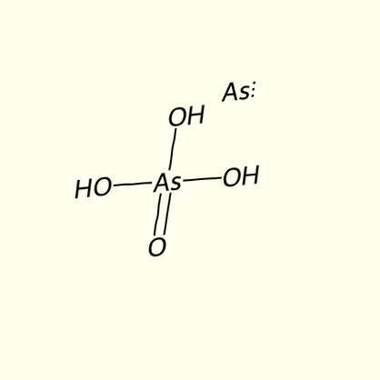 O=[As](O)(O)O.[As]